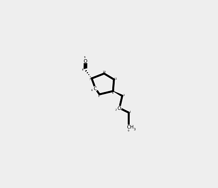 CCOC[C@H]1CC[C@H](C=O)CC1